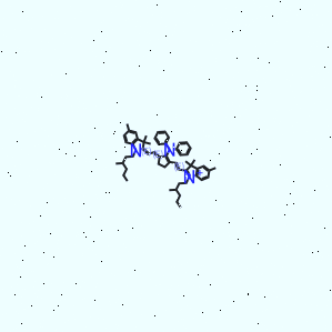 CCCC(C)CCN1/C(=C/C=C2\CCC(/C=C/C3=[N+](CCC(C)CCC)c4ccc(C)cc4C3(C)C)=C2N(c2ccccc2)c2ccccc2)C(C)(C)c2cc(C)ccc21